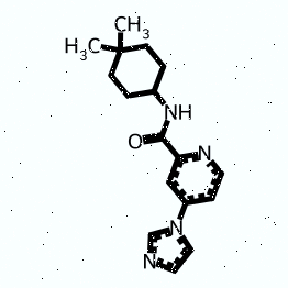 CC1(C)CCC(NC(=O)c2cc(-n3ccnc3)ccn2)CC1